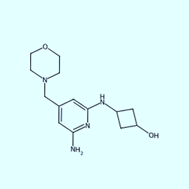 Nc1cc(CN2CCOCC2)cc(NC2CC(O)C2)n1